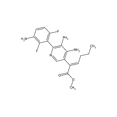 CCC/C=C(/C(=O)OC)c1cnc(-c2c(F)ccc(N)c2F)c(P)c1N